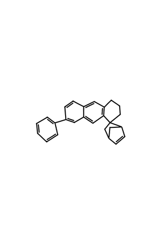 C1=CC2CC1CC21CCCc2cc3ccc(-c4ccccc4)cc3cc21